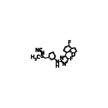 CS(Cc1cccc(Nc2ncc(F)c(-c3ccc(F)c4ccoc34)n2)c1)=NC#N